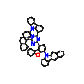 c1ccc(-n2c3ccccc3c3cccc(-c4nc(-c5cccc6ccccc56)nc(-c5ccc(-n6c7ccccc7c7cc8ccccc8cc76)c6oc7ccccc7c56)n4)c32)cc1